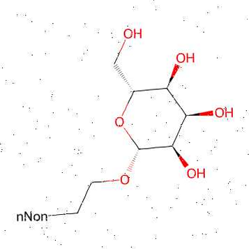 CCCCCCCCCCCO[C@@H]1O[C@H](CO)[C@@H](O)[C@@H](O)[C@H]1O